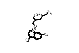 CCCCC(CC)CO[n+]1ccc(Cl)c2ccc(Cl)cc21